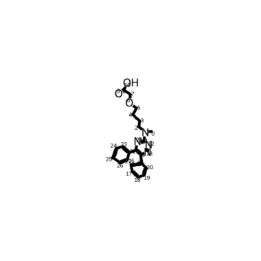 CN(CCCCOCC(=O)O)c1nnc(-c2ccccc2)c(-c2ccccc2)n1